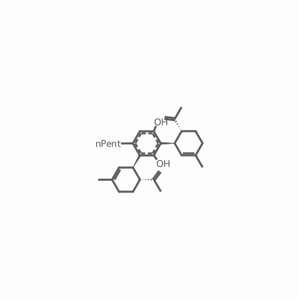 C=C(C)[C@@H]1CCC(C)=C[C@H]1c1c(O)cc(CCCCC)c([C@@H]2C=C(C)CC[C@H]2C(=C)C)c1O